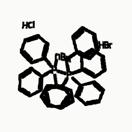 Br.CCCCP(c1ccccc1)(c1ccccc1)(c1ccccc1)P(Cc1ccccc1)(c1ccccc1)(c1ccccc1)c1ccccc1.Cl